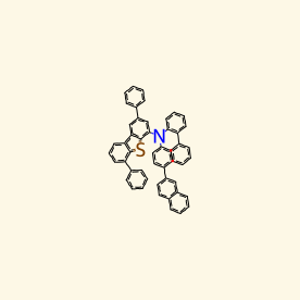 c1ccc(-c2cc(N(c3ccc(-c4ccc5ccccc5c4)cc3)c3ccccc3-c3ccccc3)c3sc4c(-c5ccccc5)cccc4c3c2)cc1